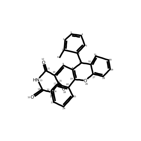 Cc1ccccc1C1C(C=C2C(=O)NC(=O)NC2=O)=C(c2ccccc2)Oc2ccccc21